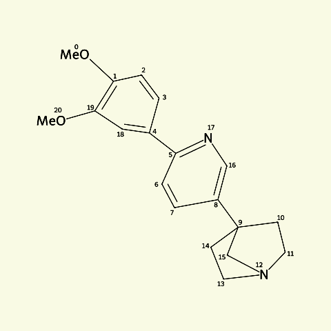 COc1ccc(-c2ccc(C34CCN(CC3)C4)cn2)cc1OC